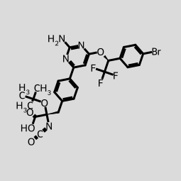 CC(C)(C)O[C@](Cc1ccc(-c2cc(O[C@@H](c3ccc(Br)cc3)C(F)(F)F)nc(N)n2)cc1)(N=C=O)C(=O)O